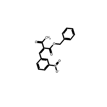 CC(=O)C(=Cc1cccc([N+](=O)[O-])c1)C(=O)OCc1ccccc1